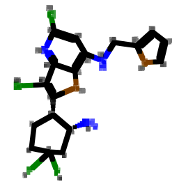 N[C@@H]1CC(F)(F)CC[C@@H]1c1sc2c(NCc3cccs3)cc(Cl)nc2c1Br